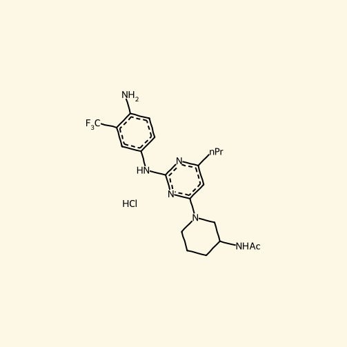 CCCc1cc(N2CCCC(NC(C)=O)C2)nc(Nc2ccc(N)c(C(F)(F)F)c2)n1.Cl